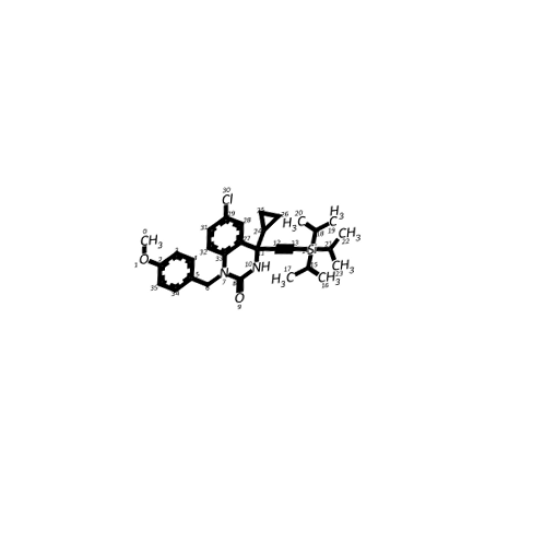 COc1ccc(CN2C(=O)NC(C#C[Si](C(C)C)(C(C)C)C(C)C)(C3CC3)c3cc(Cl)ccc32)cc1